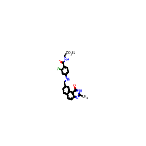 CCOC(=O)CNC(=O)c1ccc(NCc2ccc3ccc4nc(C)[nH]c(=O)c4c3c2)cc1F